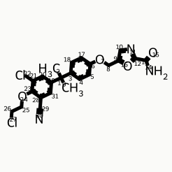 CC(C)(c1ccc(OCc2cnc(C(N)=O)o2)cc1)c1cc(Cl)c(OCCCl)c(C#N)c1